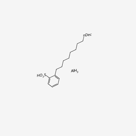 CCCCCCCCCCCCCCCCCCc1ccccc1S(=O)(=O)O.[AlH3]